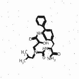 CC(C)CN(CC(O)C(N)=O)C(=O)N[C@@H](Cc1ccc(-c2ccccc2)cc1)C(N)=O